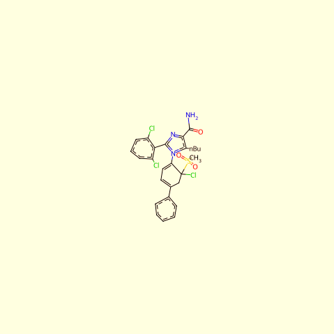 CCCCc1c(C(N)=O)nc(-c2c(Cl)cccc2Cl)n1C1=CC=C(c2ccccc2)CC1(Cl)S(C)(=O)=O